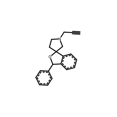 C#CCN1CCC2(C1)OC(c1ccccc1)c1ccccc12